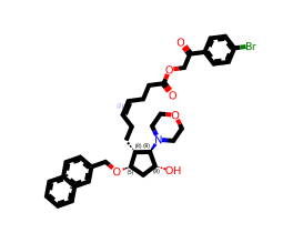 O=C(CC/C=C\CC[C@@H]1[C@@H](N2CCOCC2)[C@H](O)C[C@@H]1OCc1ccc2ccccc2c1)OCC(=O)c1ccc(Br)cc1